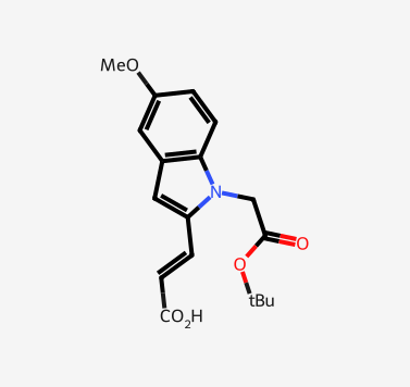 COc1ccc2c(c1)cc(C=CC(=O)O)n2CC(=O)OC(C)(C)C